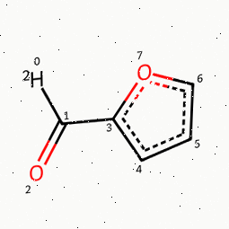 [2H]C(=O)c1ccco1